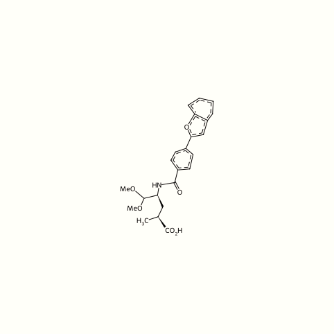 COC(OC)[C@H](C[C@H](C)C(=O)O)NC(=O)c1ccc(-c2cc3ccccc3o2)cc1